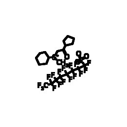 C[S+](CC(=O)C1CCCC1)C1CCCCC1.O=S(=O)([O-])C(F)(F)C(F)(F)C(F)(F)C(F)(F)C(F)(F)C(F)(F)C(F)(F)C(F)(F)F